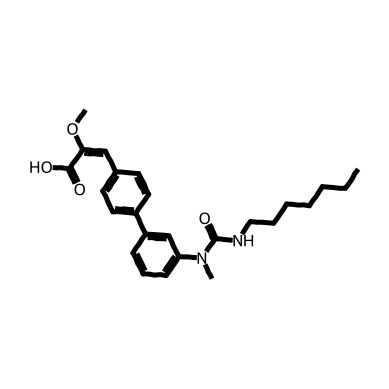 CCCCCCCNC(=O)N(C)c1cccc(-c2ccc(/C=C(/OC)C(=O)O)cc2)c1